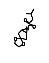 CC(C)CS(=O)(=O)N1C2CC3(CC21)OCCO3